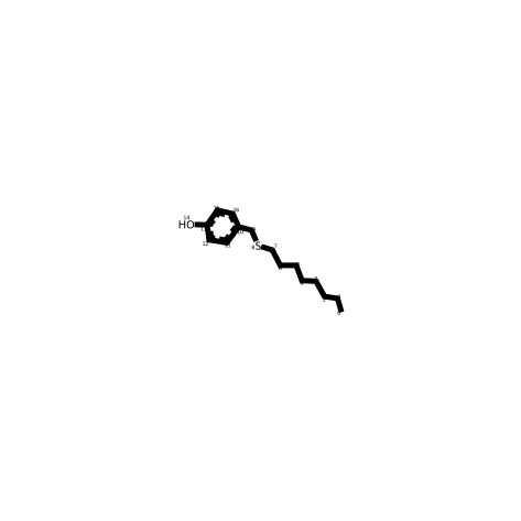 CCCCCCCCSCc1ccc(O)cc1